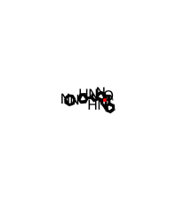 CN1CCCN(c2ccc(-c3cc4c(Nc5ccccc5P(C)(C)=O)ccnc4[nH]3)cc2)CC1